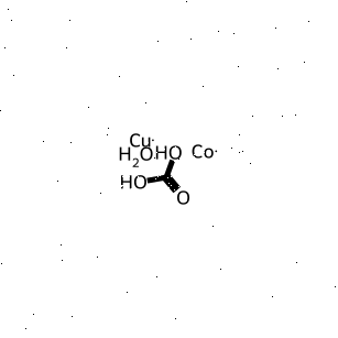 O.O=C(O)O.[Co].[Cu]